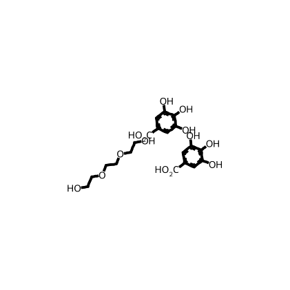 O=C(O)c1cc(O)c(O)c(O)c1.O=C(O)c1cc(O)c(O)c(O)c1.OCCOCCOCCO